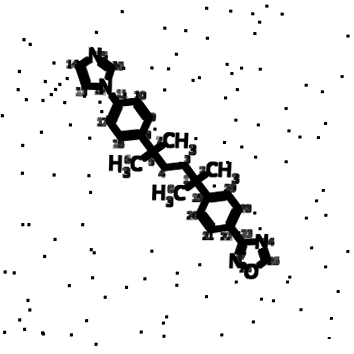 CC(C)(CCC(C)(C)c1ccc(-n2ccnc2)cc1)c1ccc(-c2ncon2)cc1